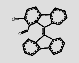 O=Cc1c(Cl)ccc2c1C(=C1c3ccccc3-c3ccccc31)c1ccccc1-2